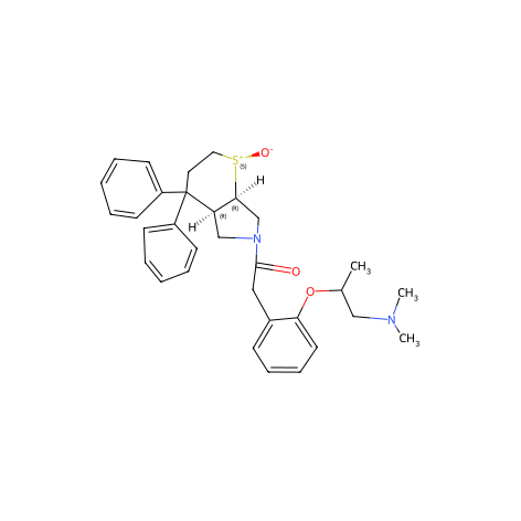 CC(CN(C)C)Oc1ccccc1CC(=O)N1C[C@@H]2[C@H](C1)[S@+]([O-])CCC2(c1ccccc1)c1ccccc1